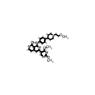 COCCN1CCC(c2ccc(Nc3nc(-c4cnc(OC)nc4OC)cc4c3C(=O)[N]C=C4)cc2)CC1